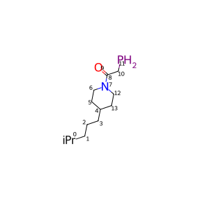 CC(C)CCCC1CCN(C(=O)CP)CC1